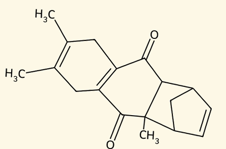 CC1=C(C)CC2=C(C1)C(=O)C1C3C=CC(C3)C1(C)C2=O